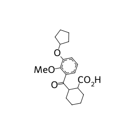 COc1c(OC2CCCC2)cccc1C(=O)C1CCCCC1C(=O)O